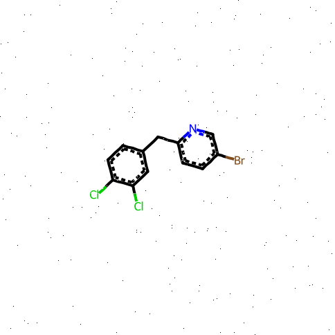 Clc1ccc(Cc2ccc(Br)cn2)cc1Cl